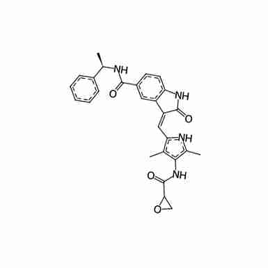 Cc1[nH]c(C=C2C(=O)Nc3ccc(C(=O)N[C@H](C)c4ccccc4)cc32)c(C)c1NC(=O)C1CO1